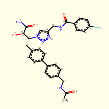 CC(=O)NCc1ccc(-c2ccc(C[C@H]([C@@H](O)C(N)=O)n3cc(CNC(=O)c4ccc(F)cc4)nn3)cc2)cc1